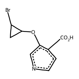 O=C(O)c1ccncc1OC1CC1Br